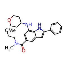 COCCN(C)C(=O)c1cc(NC2CCOCC2)c2[nH]c(-c3ccccc3)cc2c1